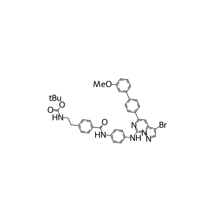 COc1cccc(-c2ccc(-c3cc4c(Br)cnn4c(Nc4ccc(NC(=O)c5ccc(CCNC(=O)OC(C)(C)C)cc5)cc4)n3)cc2)c1